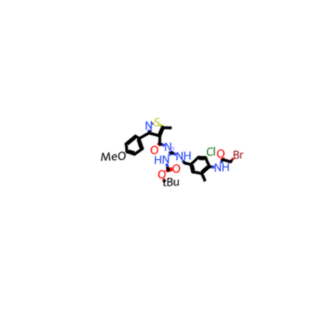 COc1ccc(-c2nsc(C)c2C(=O)/N=C(/NCc2cc(C)c(NC(=O)CBr)c(Cl)c2)NC(=O)OC(C)(C)C)cc1